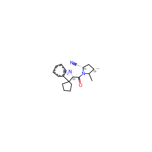 CC1[C@@H](C)C[C@@H](C#N)N1C(=O)[C@@H](N)C1(c2ccccc2)CCCC1